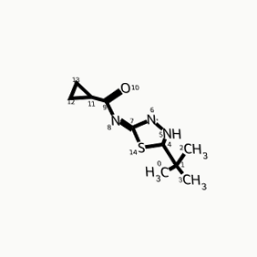 CC(C)(C)C1N[N]C(=NC(=O)C2CC2)S1